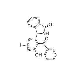 O=C1NC(c2cc(I)cc(O)c2C(=O)c2ccccc2)c2ccccc21